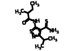 CCC(C)C(=O)Nc1snc(C(C)C)c1C(N)=S